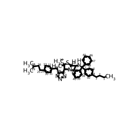 CCCCc1ccc(C(NC2C(=O)N3C(c4nnnn4Cc4ccc(CCC(C)C)cc4)C(C)(C)S[C@H]23)(c2ccccc2)c2ccccc2)cc1